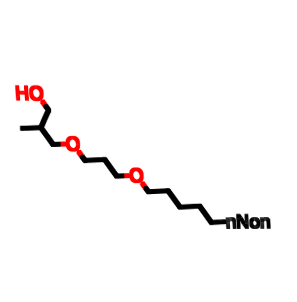 CCCCCCCCCCCCCCOCCCOCC(C)CO